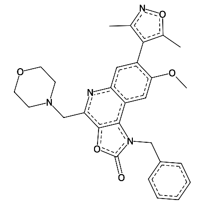 COc1cc2c(cc1-c1c(C)noc1C)nc(CN1CCOCC1)c1oc(=O)n(Cc3ccccc3)c12